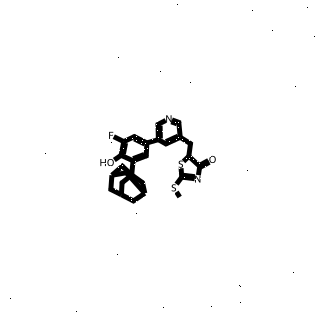 CSC1=NC(=O)C(Cc2cncc(-c3cc(F)c(O)c(C45CC6CC(CC(C6)C4)C5)c3)c2)S1